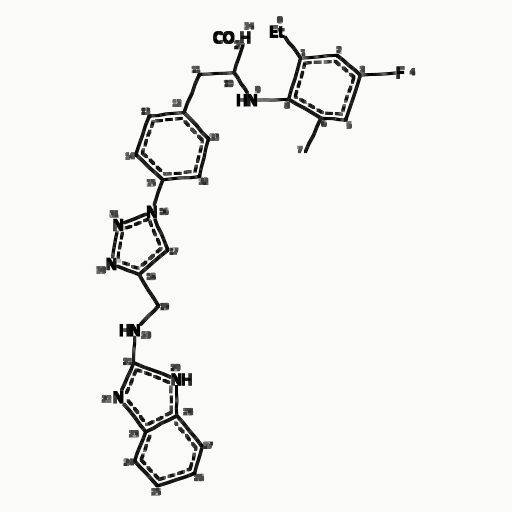 CCc1cc(F)cc(C)c1NC(Cc1ccc(-n2cc(CNc3nc4ccccc4[nH]3)nn2)cc1)C(=O)O